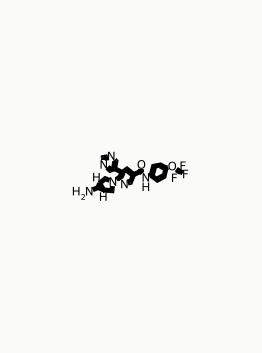 NC1[C@H]2CN(c3ncc(C(=O)Nc4ccc(OC(F)(F)F)cc4)cc3-c3cncnc3)C[C@@H]12